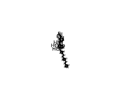 O[C@@H]1[C@@H](Nc2ccnc(C(F)(F)F)n2)[C@H]2OC[C@](CC3CC(CCC4CC(CCC5CCC5)C4)C3)(O2)[C@@H]1O